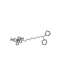 O=P(O)(O)OCCCCCCCCCC(c1ccccc1)c1ccccc1